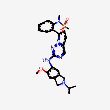 COc1cc2c(cc1Nc1ncc3ccc(-c4ccccc4N(C)S(C)(=O)=O)n3n1)CN(C(C)C)C2